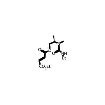 CCNC(=O)N(C)[C@H](C)COC(=O)/C=C/C(=O)OCC